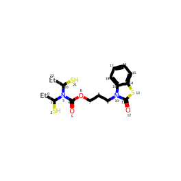 CCC(S)N(C(=O)OCCCn1c(=O)sc2ccccc21)C(S)CC